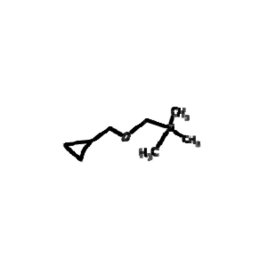 C[Si](C)(C)COCC1CC1